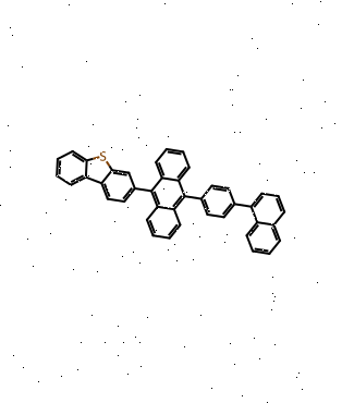 c1ccc2c(-c3ccc(-c4c5ccccc5c(-c5ccc6c(c5)sc5ccccc56)c5ccccc45)cc3)cccc2c1